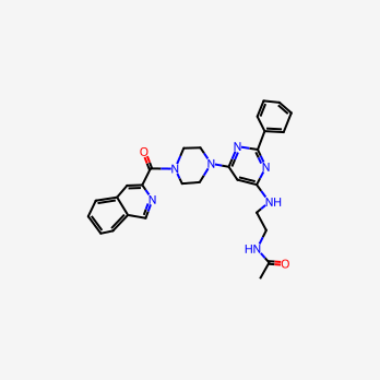 CC(=O)NCCNc1cc(N2CCN(C(=O)c3cc4ccccc4cn3)CC2)nc(-c2ccccc2)n1